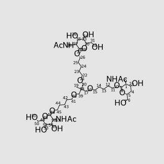 CC(=O)N[C@H]1C(O)CC(CO)O[C@H]1OCCCCCOCC(C)(COCCCCCO[C@@H]1OC(CO)[C@H](O)C(O)[C@@H]1NC(C)=O)COCCCCCO[C@@H]1OC(CO)[C@H](O)C(O)[C@@H]1NC(C)=O